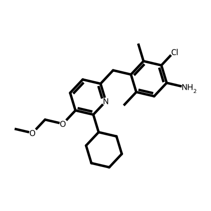 COCOc1ccc(Cc2c(C)cc(N)c(Cl)c2C)nc1C1CCCCC1